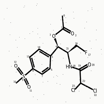 CC(=O)O[C@H](c1ccc(S(C)(=O)=O)cc1)[C@@H](CF)NC(=O)C(Cl)Cl